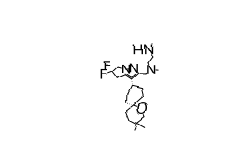 CNCCN(C)Cc1nn2c(c1[C@H]1CC[C@]3(CCC(C)(C)CO3)CC1)CC(F)(F)C2